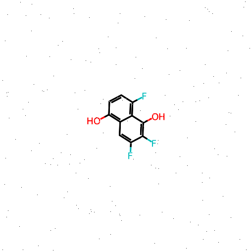 Oc1ccc(F)c2c(O)c(F)c(F)cc12